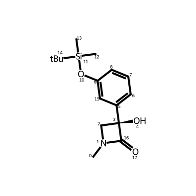 CN1C[C@](O)(c2cccc(O[Si](C)(C)C(C)(C)C)c2)C1=O